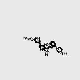 COc1cncc(-c2cnc3[nH]nc(-c4cc5c(N6CCN(C)CC6)cccc5[nH]4)c3c2)c1